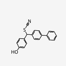 N#CSC(c1ccc(O)cc1)c1ccc(-c2ccccc2)cc1